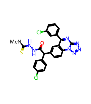 CNC(=S)NNC(=O)C(c1ccc(Cl)cc1)c1ccc2c(c1)c(-c1cccc(Cl)c1)nc1nnnn12